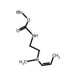 C/C=C\N(C)CCNC(=O)OC(C)(C)C